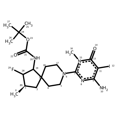 C[C@@H]1CC2(CCN(c3nc(N)c(I)c(=O)n3C)CC2)C(NC(=O)OC(C)(C)C)C1F